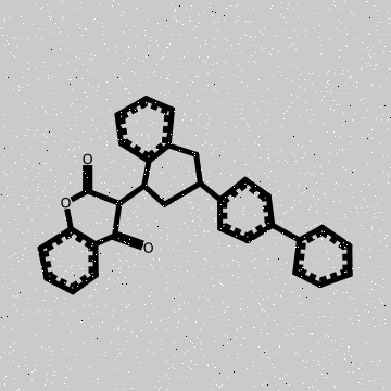 O=C1Oc2ccccc2C(=O)C1C1CC(c2ccc(-c3ccccc3)cc2)Cc2ccccc21